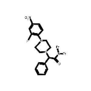 CCN(CC)C(=O)C(c1ccccc1)N1CCN(c2ccc([N+](=O)[O-])cc2F)CC1